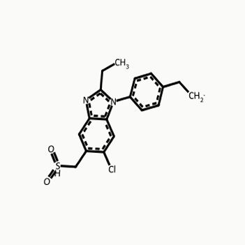 [CH2]Cc1ccc(-n2c(CC)nc3cc(C[SH](=O)=O)c(Cl)cc32)cc1